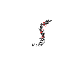 COc1ccc(C(C)c2ccc(OC(=O)c3ccc(C(=O)Oc4ccc(Cc5ccc(OC(=O)c6ccc(C(C)=O)cc6)cc5)cc4)cc3)c(C)c2)cc1C